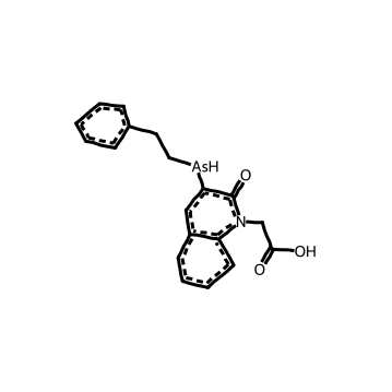 O=C(O)Cn1c(=O)c([AsH]CCc2ccccc2)cc2ccccc21